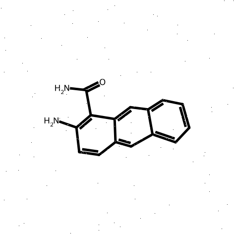 NC(=O)c1c(N)ccc2cc3ccccc3cc12